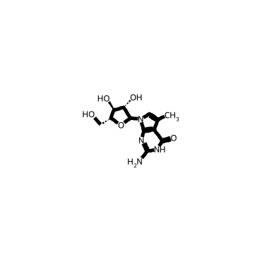 Cc1cn(C2O[C@H](CO)[C@@H](O)[C@@H]2O)c2nc(N)[nH]c(=O)c12